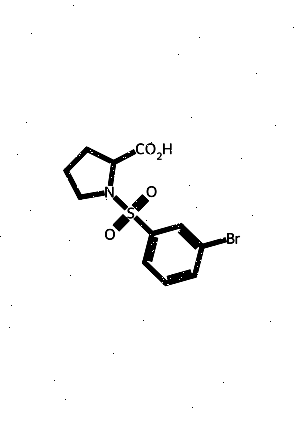 O=C(O)C1CCCN1S(=O)(=O)c1cccc(Br)c1